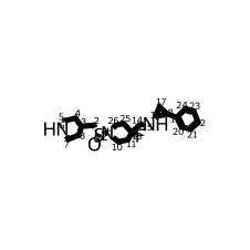 [O-][S+](CC1CCNCC1)N1CCC(F)(CNC2CC2c2ccccc2)CC1